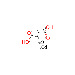 O=C(O)CCC(=O)O.[Cd].[Zn]